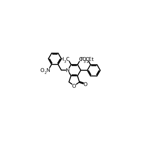 CCOC(=O)C1=C(C)N(Cc2ccccc2[N+](=O)[O-])C2=C(C(=O)OC2)C1c1ccccc1C(F)(F)F